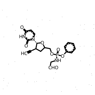 C#CC1CC(COP(=O)(NCC=O)Oc2ccccc2)O[C@H]1n1ccc(=O)[nH]c1=O